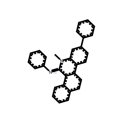 Cn1/c(=N\c2ccccc2)c2c3ccccc3ccc2c2ccc(-c3ccccc3)cc21